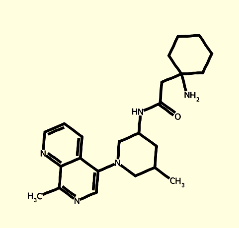 Cc1ncc(N2CC(C)CC(NC(=O)CC3(N)CCCCC3)C2)c2cccnc12